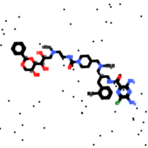 CCCCCCN(CCNC(=O)N1CCC(CN(C[C@H](CNC(=O)c2nc(Cl)c(N)nc2N)Cc2ccccc2C)C(=O)O)CC1)C[C@H](O)[C@@H](O)[C@@H]1O[C@H](c2ccccc2)OC[C@H]1O